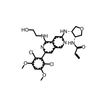 C=CC(=O)N[C@H]1COC[C@H]1Nc1cc2c(NCCO)nc(-c3c(Cl)c(OC)cc(OC)c3Cl)cc2cn1